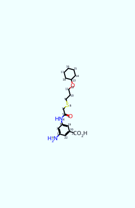 Nc1cc(NC(=O)CSCCCOC2CCCCC2)cc(C(=O)O)c1